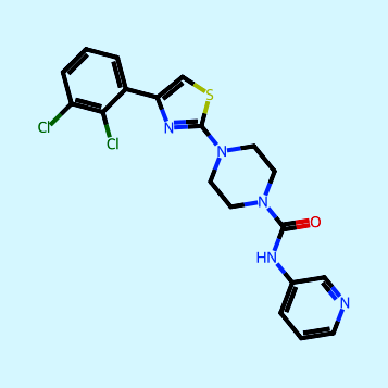 O=C(Nc1cccnc1)N1CCN(c2nc(-c3cccc(Cl)c3Cl)cs2)CC1